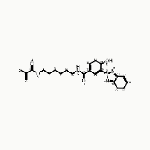 C=C(C)C(=O)OCCCCCCNC(=O)C1=CCC(O)C(n2nc3c(n2)CCC=C3)=C1